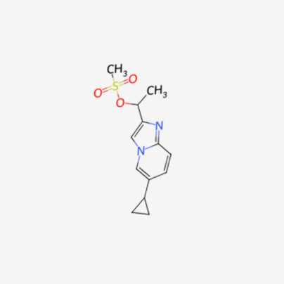 CC(OS(C)(=O)=O)c1cn2cc(C3CC3)ccc2n1